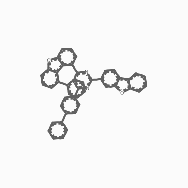 c1ccc(-c2ccc(-c3nc(-c4ccc5c(c4)oc4ccccc45)nc(-c4cccc5oc6cccc(-c7ccccc7)c6c45)n3)cc2)cc1